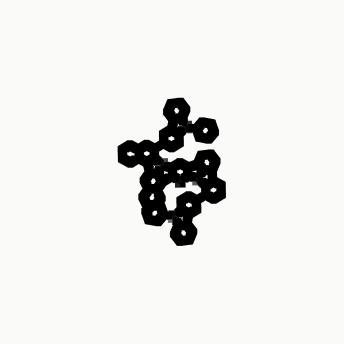 c1ccc(-n2c3ccccc3c3cc(-c4cc5ccccc5c5c6cc7ccccc7c7c8nc9c(cc8n(c45)c67)c4cccc5c6cccc(-c7ccc8c(c7)c7ccccc7n8-c7ccccc7)c6n9c45)ccc32)cc1